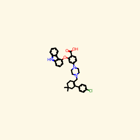 CC1(C)CCC(CN2CCN(c3ccc(C(=O)O)c(Oc4cccc5[nH]c6ccccc6c45)c3)CC2)=C(c2ccc(Cl)cc2)C1